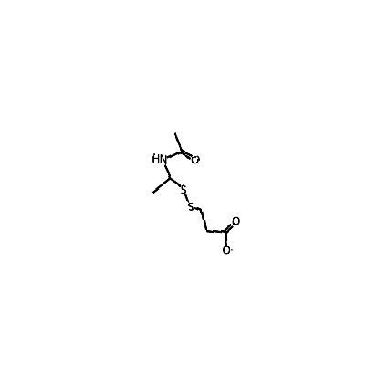 CC(=O)NC(C)SSCCC([O])=O